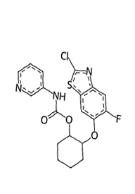 O=C(Nc1cccnc1)OC1CCCCC1Oc1cc2sc(Cl)nc2cc1F